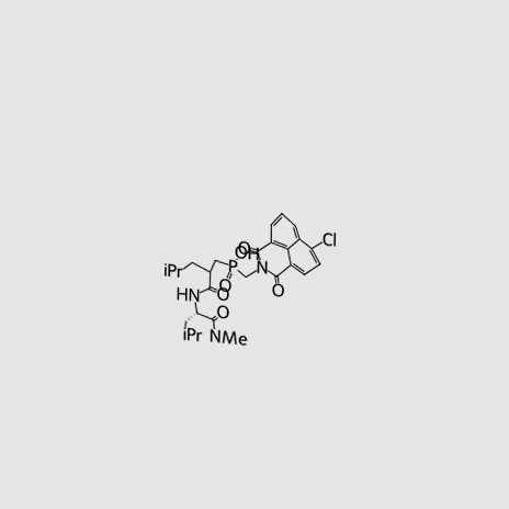 CNC(=O)[C@H](CC(C)C)NC(=O)C(CC(C)C)CP(=O)(O)CN1C(=O)c2cccc3c(Cl)ccc(c23)C1=O